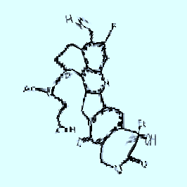 CC[C@@]1(O)C(=O)OCc2c1cc1n(c2=O)Cc2c-1nc1cc(F)c(C)c3c1c2[C@@H](N(CCO)C(C)=O)CC3